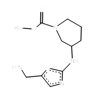 CC(C)(C)OC(=O)N1CCCC(Nc2ncc(CN)s2)C1